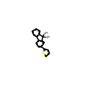 CCCC1(CCC)c2ccccc2-c2ccc(-c3cccs3)cc21